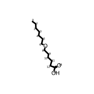 CCCCCCCOCCCCCC(=O)O